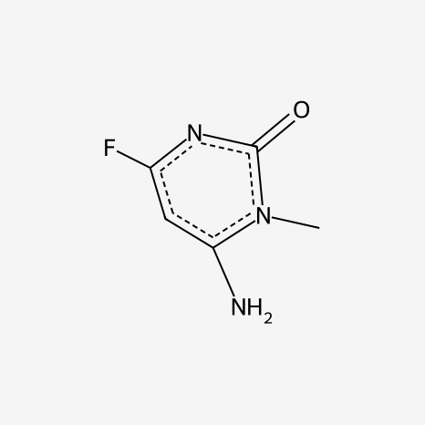 Cn1c(N)cc(F)nc1=O